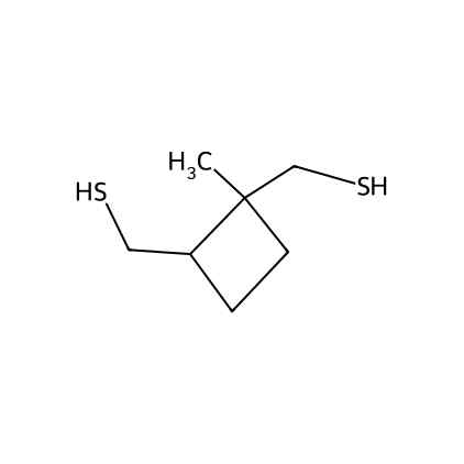 CC1(CS)CCC1CS